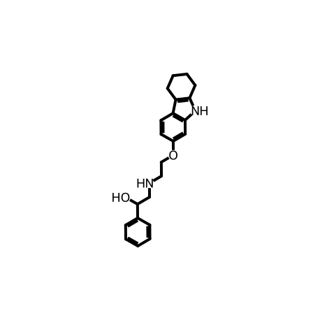 OC(CNCCOc1ccc2c3c([nH]c2c1)CCCC3)c1ccccc1